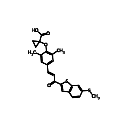 CSc1ccc2cc(C(=O)/C=C/c3cc(C)c(OC4(C(=O)O)CC4)c(C)c3)sc2c1